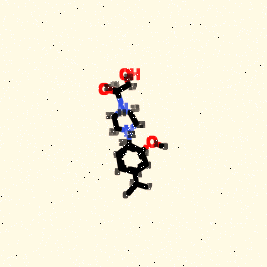 COc1cc(C(C)C)ccc1N1CCN(C(=O)CO)CC1